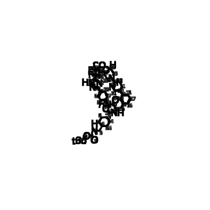 CC(C)(C)OC(=O)NC[C@H]1CC[C@H](C(=O)N[C@@H](Cc2cccc(-c3cnc(N4CCOCC4)nc3)c2)C(=O)Nc2ccc(-c3n[nH]c(C(F)(F)C(F)(F)C(=O)O)n3)cc2)CC1